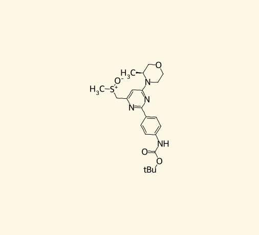 C[C@H]1COCCN1c1cc(C[S+](C)[O-])nc(-c2ccc(NC(=O)OC(C)(C)C)cc2)n1